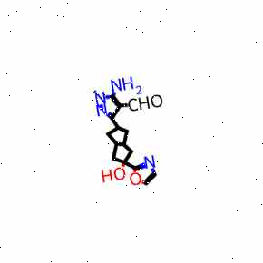 Cn1nc(C2CC3CC(O)(c4ncco4)CC3C2)c(C=O)c1N